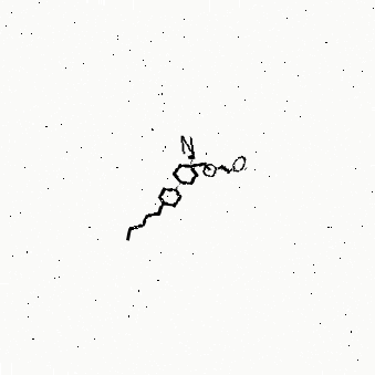 CCCCCC1CCC([C@H]2CC[C@](C#N)(COCCOC)CC2)CC1